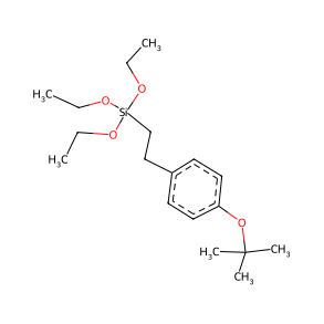 CCO[Si](CCc1ccc(OC(C)(C)C)cc1)(OCC)OCC